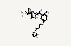 Cc1cnc(NCCCn2cncn2)nc1/C(N)=C1/NC(C(C)(C)C)=CS1